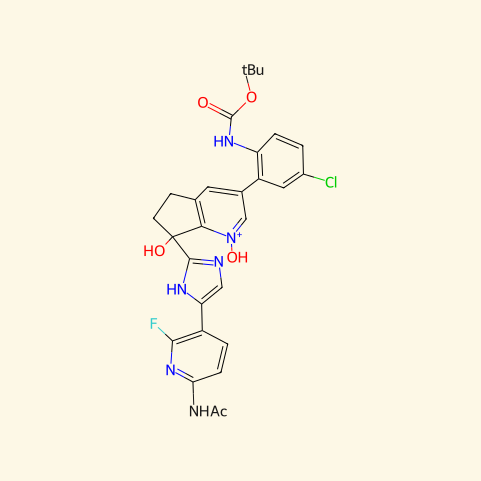 CC(=O)Nc1ccc(-c2cnc(C3(O)CCc4cc(-c5cc(Cl)ccc5NC(=O)OC(C)(C)C)c[n+](O)c43)[nH]2)c(F)n1